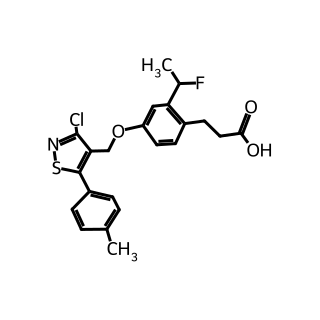 Cc1ccc(-c2snc(Cl)c2COc2ccc(CCC(=O)O)c(C(C)F)c2)cc1